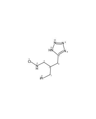 CC(C)CC(CNCl)Cc1nnn[nH]1